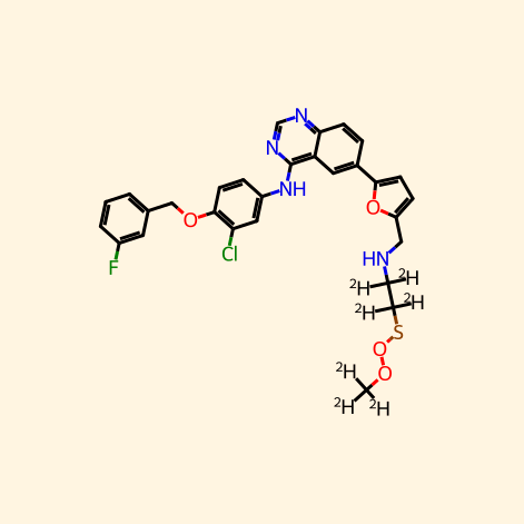 [2H]C([2H])([2H])OOSC([2H])([2H])C([2H])([2H])NCc1ccc(-c2ccc3ncnc(Nc4ccc(OCc5cccc(F)c5)c(Cl)c4)c3c2)o1